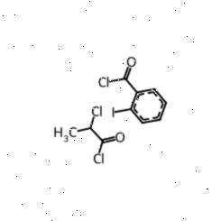 CC(Cl)C(=O)Cl.O=C(Cl)c1ccccc1I